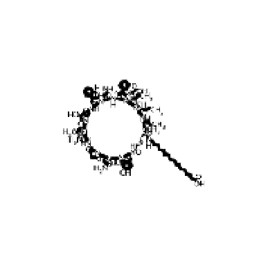 CCCC[C@H]1C(=O)N(C)[C@@H](CCCC)C(=O)NC(CC(C)C)C(=O)N[C@H](C(=O)NCCCCCCCCCCCCCCCCC(=O)O)CSCC(=O)N[C@@H](Cc2ccc(O)cc2)C(=O)N(C)[C@@H](C)C(=O)N[C@@H](CC(N)=O)C(=O)N2CCC[C@H]2C(=O)N[C@@H](CN)C(=O)N[C@@H](CC(C)C)C(=O)N2C[C@H](O)C[C@H]2C(=O)N[C@@H](Cc2c[nH]c3ccccc23)C(=O)N[C@@H](CCN)C(=O)N[C@@H](Cc2cn(CC(=O)O)c3ccccc23)C(=O)N1C